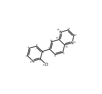 Clc1ncccc1-c1ccc2nccnc2c1